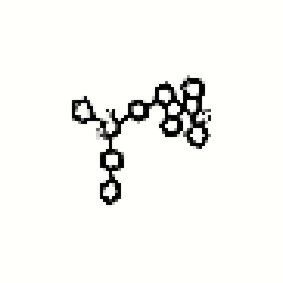 c1ccc(-c2ccc(-c3cc(-c4ccc(-c5cccc6c5-c5ccccc5C65c6ccccc6-c6sc7ccccc7c65)cc4)nc(-c4ccccc4)n3)cc2)cc1